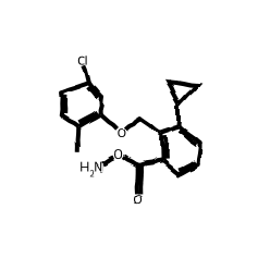 Cc1ccc(Cl)cc1OCc1c(C(=O)ON)cccc1C1CC1